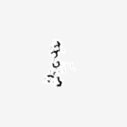 Cc1nc2sccn2c(=O)c1CCN1CCC(Nc2nc3cncnc3n2Cc2cccs2)CC1.O